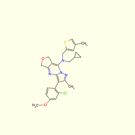 COc1ccc(-c2c(C)nn3c(N(Cc4cc(C)cs4)CC4CC4)c4c(nc23)COC4)c(Cl)c1